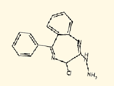 NNC1=Nc2ccccc2C(c2ccccc2)=NC1Cl